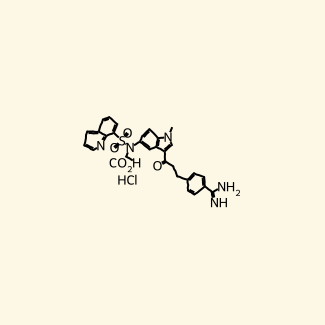 Cl.Cn1cc(C(=O)CCc2ccc(C(=N)N)cc2)c2cc(N(CC(=O)O)S(=O)(=O)c3cccc4cccnc34)ccc21